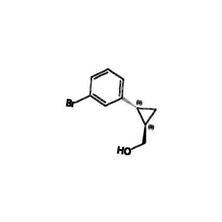 OC[C@@H]1C[C@H]1c1cccc(Br)c1